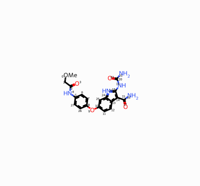 COCC(=O)Nc1ccc(Oc2ccc3c(C(N)=O)c(NC(N)=O)[nH]c3c2)cc1